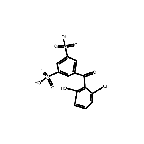 O=C(c1cc(S(=O)(=O)O)cc(S(=O)(=O)O)c1)c1c(O)cccc1O